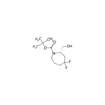 CC(C)(C)OC(=O)N1CCCC(F)(F)C[C@H]1CO